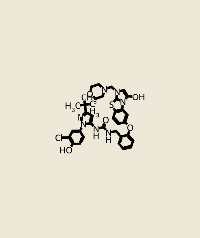 CC(C)(C)c1cc(NC(=O)NCc2ccccc2Oc2ccc3c(c2)N2C(O)=CN(CN4CCOCC4)C2S3)n(-c2ccc(O)c(Cl)c2)n1